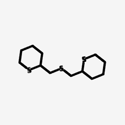 C1CCC(CSCC2CCCCS2)SC1